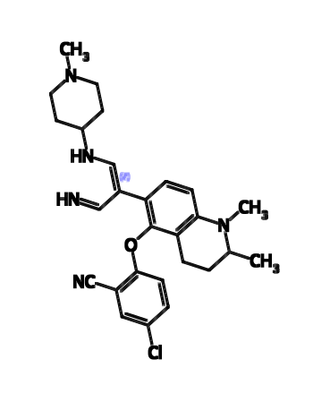 CC1CCc2c(ccc(/C(C=N)=C/NC3CCN(C)CC3)c2Oc2ccc(Cl)cc2C#N)N1C